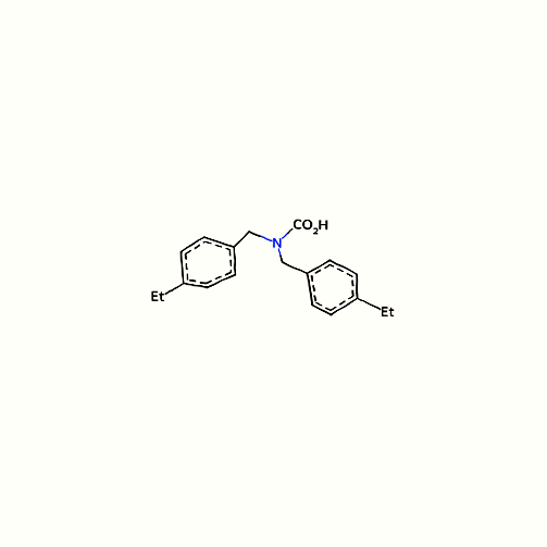 CCc1ccc(CN(Cc2ccc(CC)cc2)C(=O)O)cc1